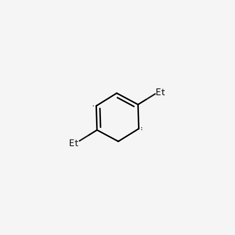 CCC1=[C]C=C(CC)[C]C1